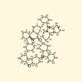 O=c1c2ccccc2c2cccc3c4cc(-c5cccc6oc7ccc(-n8c9ccccc9c9cc(-c%10ccc%11c(c%10)c%10ccccc%10n%11-c%10ccccc%10)ccc98)cc7c56)ccc4n1c23